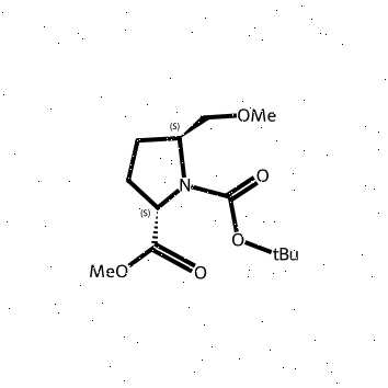 COC[C@@H]1CC[C@@H](C(=O)OC)N1C(=O)OC(C)(C)C